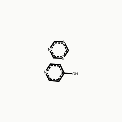 Oc1ccncc1.c1ncncn1